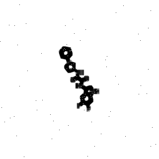 O=C(Nc1c[nH]c2cc(F)c(F)cc12)C(=O)N[C@@H]1CCN(c2ccccc2)C1